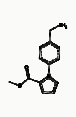 COC(=O)c1cccn1-c1ccc(CN)cc1